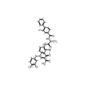 C[C@H](NC(=O)c1ccc(-c2ccccc2)c(F)c1)C(=O)Nc1ccc2c(c1Br)c(=O)c(C(=O)O)cn2Cc1ccc(Cl)c(Cl)c1